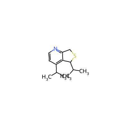 CC(C)c1ccnc2c1C(C(C)C)SC2